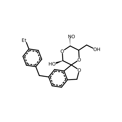 CCc1ccc(Cc2ccc3c(c2)C2(OC3)OC(CO)[C@@H](N=O)O[C@@H]2O)cc1